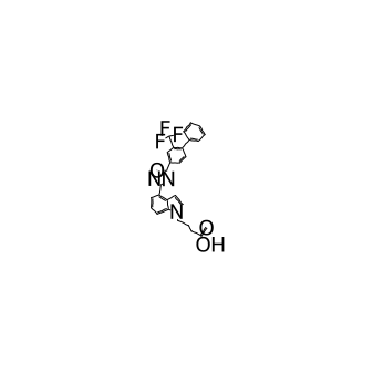 O=C(O)CCCn1ccc2c(-c3noc(-c4ccc(-c5ccccc5)c(C(F)(F)F)c4)n3)cccc21